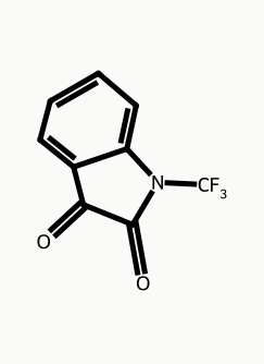 O=C1C(=O)N(C(F)(F)F)c2ccccc21